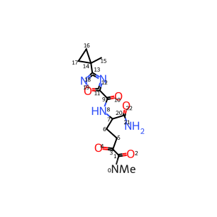 CNC(=O)C(=O)CCC(NC(=O)c1nc(C2(C)CC2)no1)C(N)=O